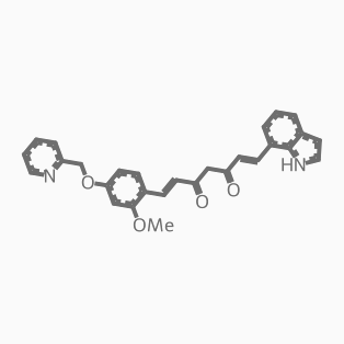 COc1cc(OCc2ccccn2)ccc1C=CC(=O)CC(=O)C=Cc1cccc2cc[nH]c12